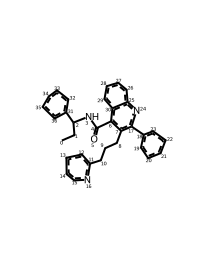 CCC(NC(=O)c1c(CCCc2ccccn2)c(-c2ccccc2)nc2ccccc12)c1ccccc1